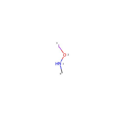 CNOI